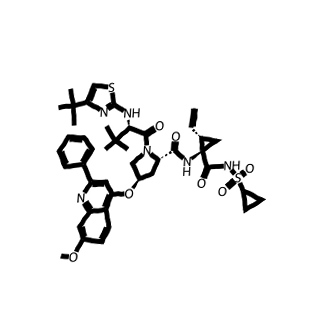 C=C[C@@H]1C[C@]1(NC(=O)[C@@H]1C[C@@H](Oc2cc(-c3ccccc3)nc3cc(OC)ccc23)CN1C(=O)[C@@H](Nc1nc(C(C)(C)C)cs1)C(C)(C)C)C(=O)NS(=O)(=O)C1CC1